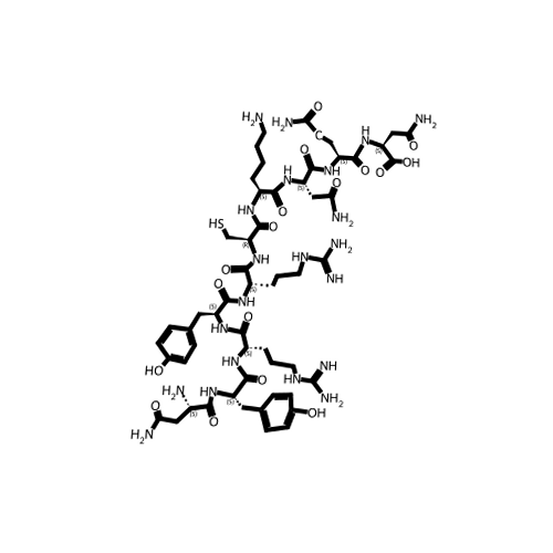 N=C(N)NCCC[C@H](NC(=O)[C@H](Cc1ccc(O)cc1)NC(=O)[C@H](CCCNC(=N)N)NC(=O)[C@H](Cc1ccc(O)cc1)NC(=O)[C@@H](N)CC(N)=O)C(=O)N[C@@H](CS)C(=O)N[C@@H](CCCCN)C(=O)N[C@@H](CC(N)=O)C(=O)N[C@@H](CCC(N)=O)C(=O)N[C@@H](CC(N)=O)C(=O)O